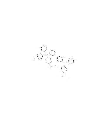 Cc1ccc2c(c1)Oc1cc(-c3ccc4c(c3)C3(c5ccc(C(C)(C)C)cc5-c5cc(C(C)(C)C)ccc53)c3cc(C)ccc3-4)ccc1N2c1c(C)cc(C(C)(C)C)cc1C